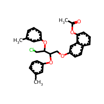 CC(=O)Oc1cccc2ccc(OCC(Oc3cccc(C)c3)C(CCl)Oc3cccc(C)c3)cc12